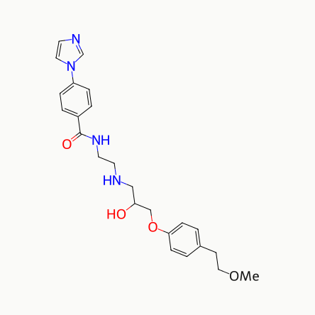 COCCc1ccc(OCC(O)CNCCNC(=O)c2ccc(-n3ccnc3)cc2)cc1